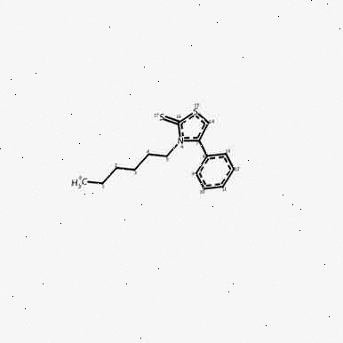 CCCCCCn1c(-c2ccccc2)csc1=S